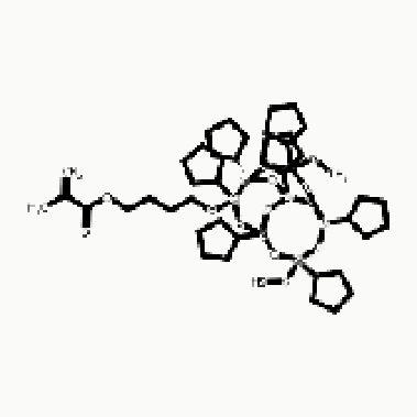 C=C(C)C(=O)OCCCCO[Si]1(C2CCCC2)O[Si]2(C3CCCC3)O[Si](OS)(C3CCCC3)O[Si]3(C4CCCC4)O[Si](OC)(C4CCCC4)O[Si@@]1(C1CCCC1)O[Si](C1CCCC1)(O3)O2